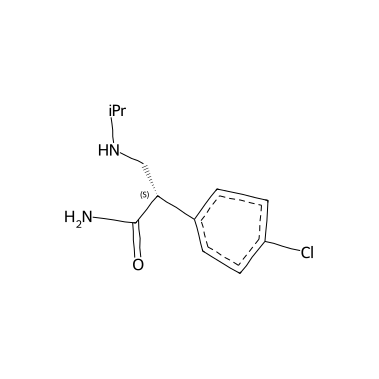 CC(C)NC[C@@H](C(N)=O)c1ccc(Cl)cc1